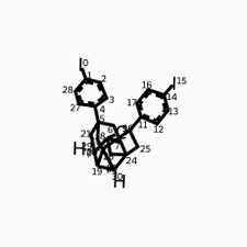 Ic1ccc(C23CC4C56CC7(c8ccc(I)cc8)CC([C@H]5C2)[C@@H](C3)C4(C7)C6)cc1